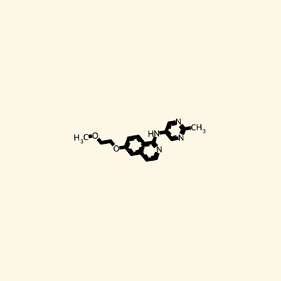 COCCOc1ccc2c(Nc3cnc(C)nc3)nccc2c1